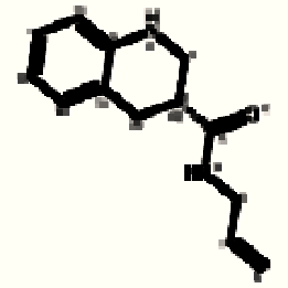 C=CCNC(=O)[C@H]1CNc2ccccc2C1